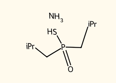 CC(C)CP(=O)(S)CC(C)C.N